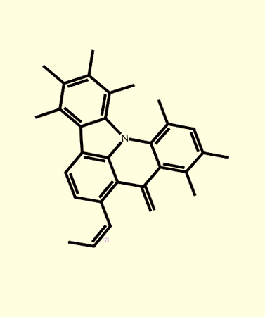 C=c1c2c(C)c(C)cc(C)c2n2c3c(C)c(C)c(C)c(C)c3c3ccc(/C=C\C)c1c32